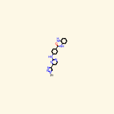 CC(C)n1cc(-c2ccnc(Nc3ccc(C(=O)Nc4ccccc4N)cc3)n2)nn1